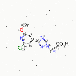 CC(C)Oc1cc(-c2ncn(/C=C\C(=O)O)n2)cc(Cl)n1